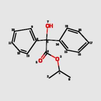 CC(C)OC(=O)C(O)(c1ccccc1)c1ccccc1